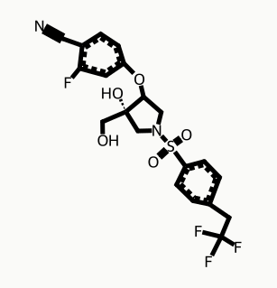 N#Cc1ccc(OC2CN(S(=O)(=O)c3ccc(CC(F)(F)F)cc3)C[C@@]2(O)CO)cc1F